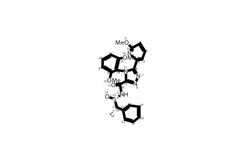 COc1cccc(-c2nnc(C(=O)N[S+]([O-])[C@@H](C)c3ccccc3)n2-c2c(OC)cccc2OC)n1